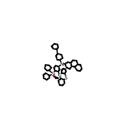 c1ccc(-c2ccc(N(c3ccc4c(c3)[Si]3(c5ccccc5Sc5ccccc53)c3ccccc3[Si]4(c3ccccc3)c3ccccc3)c3ccc4c(ccc5ccccc54)c3)cc2)cc1